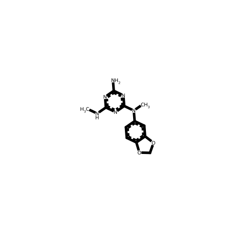 CNc1nc(N)nc(N(C)c2ccc3c(c2)OCO3)n1